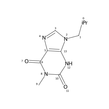 CC(C)Cn1cnc2c(=O)n(C)c(=O)[nH]c21